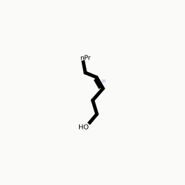 CCCC/C=C\CCO